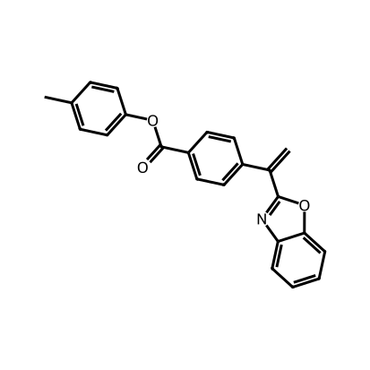 C=C(c1ccc(C(=O)Oc2ccc(C)cc2)cc1)c1nc2ccccc2o1